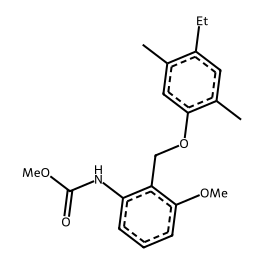 CCc1cc(C)c(OCc2c(NC(=O)OC)cccc2OC)cc1C